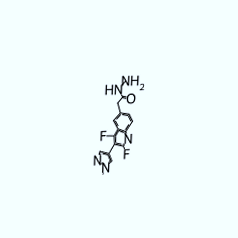 Cn1cc(-c2c(F)nc3ccc(CC(=O)NN)cc3c2F)cn1